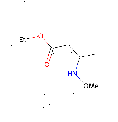 CCOC(=O)CC(C)NOC